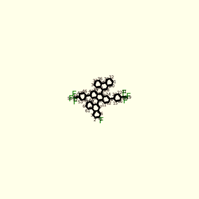 Fc1ccc2c(c1)cc(-c1c3ccc(-c4ccc(C(F)(F)F)cc4)cc3c(-c3cc4ccccc4c4ccccc34)c3ccc(-c4ccc(C(F)(F)F)cc4)cc13)c1ccccc12